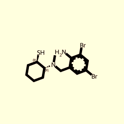 CN(Cc1cc(Br)cc(Br)c1N)[C@@H]1CCCC[C@H]1S